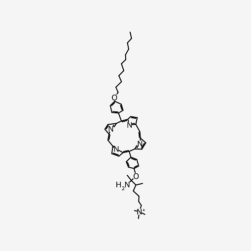 CCCCCCCCCCCCOc1ccc(C2=C3C=CC(=N3)C=C3C=CC(=N3)C(c3ccc(OC(C)(N)C(C)CCCC[N+](C)(C)C)cc3)=C3C=CC(=N3)C=C3C=CC2=N3)cc1